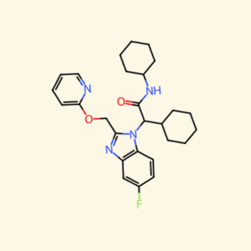 O=C(NC1CCCCC1)C(C1CCCCC1)n1c(COc2ccccn2)nc2cc(F)ccc21